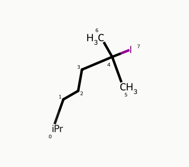 CC(C)CCCC(C)(C)I